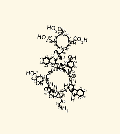 CC(O)[C@H](CO)NC(=O)[C@H]1CSSC[C@@H](NC(=O)[C@H](Cc2ccccc2)NC(=O)CN2CCN(CC(=O)O)CCN(CC(=O)O)CCN(CC(=O)O)CC2)C(=O)N[C@H](Cc2ccc(O)cc2)C(=O)N[C@@H](CC2=CNC3C=CC=CC23)C(=O)N[C@H](CCCCN)C(=O)N[C@@H]([C@@H](C)O)C(=O)N1